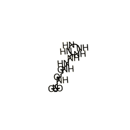 CC1(CNCCNCCNC(=O)CCCC(=O)NCCCN2C(=O)C=CC2=O)CNCCNCCCNCCNC1